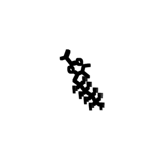 C=C(C)C(=O)OC(CC(F)(F)C(F)(F)C(F)(F)C(F)(F)F)C(C)CC